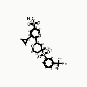 CC1(S(=O)(=O)c2cccc(C(F)(F)F)c2)CCOC(c2ncc(S(C)(=O)=O)cc2C2CC2)C1